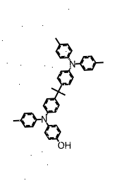 Cc1ccc(N(c2ccc(C)cc2)c2ccc(C(C)(C)c3ccc(N(c4ccc(C)cc4)c4ccc(O)cc4)cc3)cc2)cc1